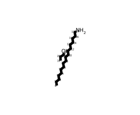 CCCCCCCCCCCCCCCCCCN.CCCO